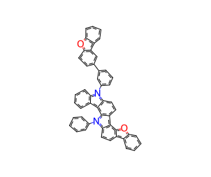 c1ccc(-n2c3ccc4c5ccccc5oc4c3c3ccc4c(c5ccccc5n4-c4cccc(-c5ccc6oc7ccccc7c6c5)c4)c32)cc1